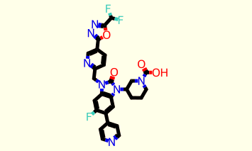 O=C(O)N1CCCC(n2c(=O)n(Cc3ccc(-c4nnc(C(F)F)o4)cn3)c3cc(F)c(-c4ccncc4)cc32)C1